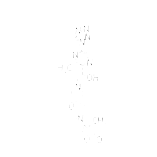 CC1=C(N2CCOC3(CCN(CC(O)c4ncc(-n5cnnn5)nc4C)CC3)CC2)COC1=O